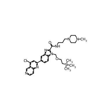 CN1CCN(CCCNC(=O)c2nc3cc(-c4cc(Cl)c5cnccc5n4)ccc3n2COCC[Si](C)(C)C)CC1